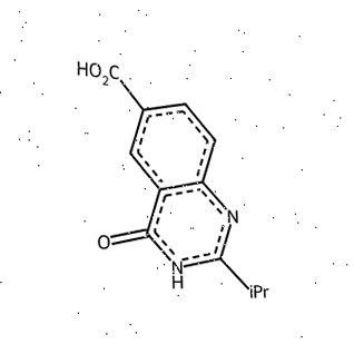 CC(C)c1nc2ccc(C(=O)O)cc2c(=O)[nH]1